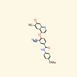 COc1ccc(NC(=O)c2ccc(Oc3ccnc4cc([O-])c(C#N)cc34)c(N)c2)cc1.[Na+]